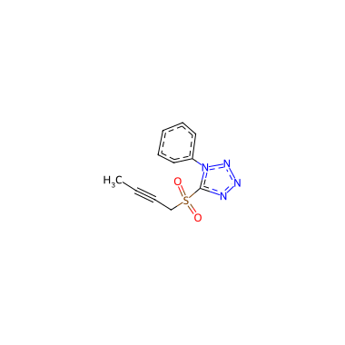 CC#CCS(=O)(=O)c1nnnn1-c1ccccc1